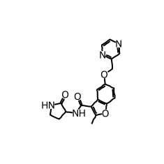 Cc1oc2ccc(OCc3cnccn3)cc2c1C(=O)NC1CCNC1=O